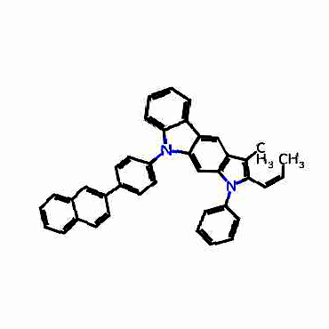 C/C=C\c1c(C)c2cc3c4ccccc4n(-c4ccc(-c5ccc6ccccc6c5)cc4)c3cc2n1-c1ccccc1